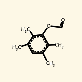 Cc1cc(C)c(C)c(OC=O)c1C